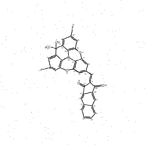 CC1(C)c2cc(F)cc3c2N2c4c(cc(C=C5C(=O)c6cc7ccccc7cc6C5=O)cc4Oc4cc(F)cc1c42)O3